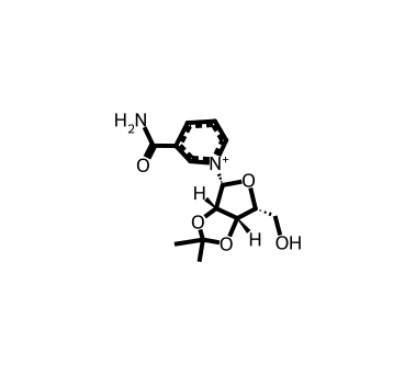 CC1(C)O[C@@H]2[C@H](O1)[C@H]([n+]1cccc(C(N)=O)c1)O[C@@H]2CO